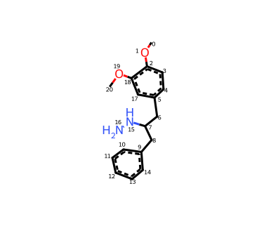 COc1ccc(CC(Cc2ccccc2)NN)cc1OC